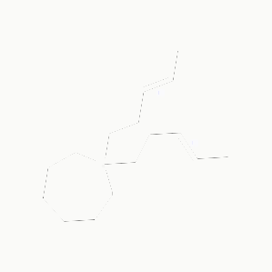 C/C=C/CC[Si]1(CC/C=C/C)CCCCCC1